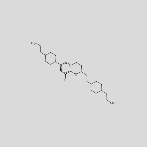 CCCC1CCC(CCC2CCc3cc(C4CCC(CCC)CC4)cc(F)c3O2)CC1